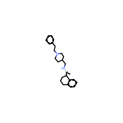 c1ccc(CCN2CCC(CN[C@@H]3C[C@]34CCCc3ccccc34)CC2)cc1